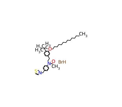 Br.CCCCCCCCCCCCCCOc1cc(CCN(C(C)=O)c2ccc(CN3C=CSC3)cc2)ccc1C(C)(C)C